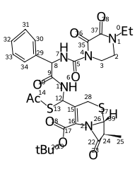 CCN1CCN(C(=O)NC(C(=O)NC(SC(C)=O)C2=C(C(=O)OC(C)(C)C)N3C(=O)[C@H](C)[C@H]3SC2)c2ccccc2)C(=O)C1=O